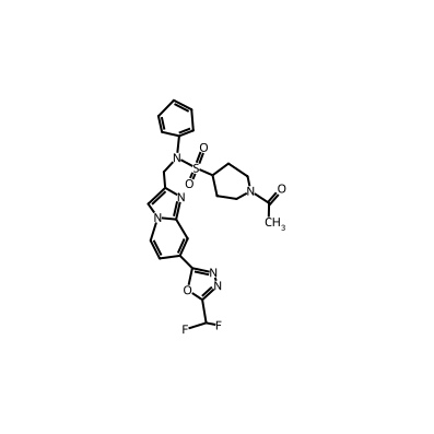 CC(=O)N1CCC(S(=O)(=O)N(Cc2cn3ccc(-c4nnc(C(F)F)o4)cc3n2)c2ccccc2)CC1